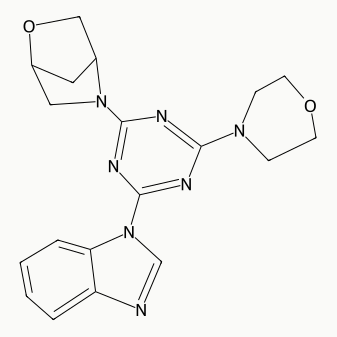 c1ccc2c(c1)ncn2-c1nc(N2CCOCC2)nc(N2CC3CC2CO3)n1